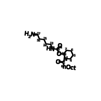 CCCCCCCCC(=O)N1CCCC[C@@H]1OC(=O)NCCCCCN